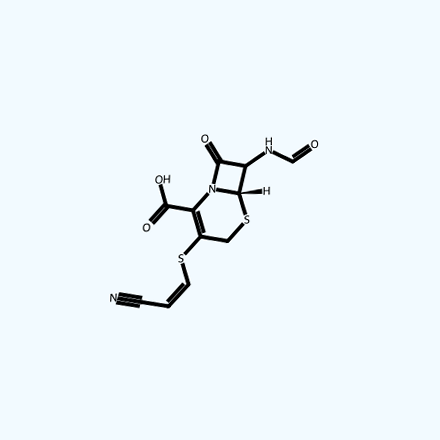 N#C/C=C\SC1=C(C(=O)O)N2C(=O)C(NC=O)[C@@H]2SC1